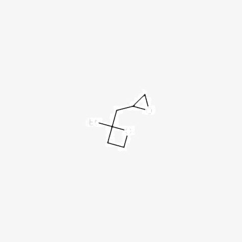 CCC1(CC2CO2)CCO1